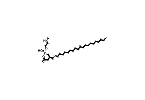 CCCCCCCCCCCCCCCCCCCCOCC(COP(O)OCCNC)CC(C)=O